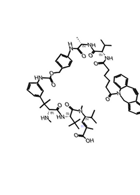 CN[C@@H](C(=O)N[C@H](C(=O)N(C)[C@H](/C=C(\C)C(=O)O)C(C)C)C(C)(C)C)C(C)(C)c1cccc(NC(=O)OCc2ccc(NC(=O)[C@H](C)NC(=O)[C@@H](NC(=O)CCCCC(=O)N3Cc4ccccc4C#Cc4ccccc43)C(C)C)cc2)c1